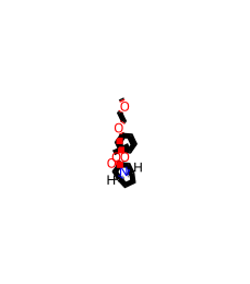 COCCOc1cccc(O[C@H]2C[C@H]3CC[C@@H](C2)N3C(=O)OC(C)(C)C)c1